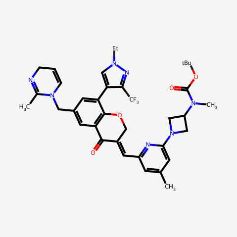 CCn1cc(-c2cc(CN3C=CCN=C3C)cc3c2OC/C(=C\c2cc(C)cc(N4CC(N(C)C(=O)OC(C)(C)C)C4)n2)C3=O)c(C(F)(F)F)n1